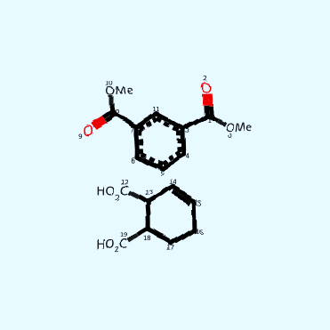 COC(=O)c1cccc(C(=O)OC)c1.O=C(O)C1C=CCCC1C(=O)O